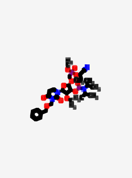 CO[C@@H]1[C@H](OP(OCCC#N)N(C(C)C)C(C)C)[C@@H](OCP(=O)(OC)OC)O[C@H]1n1ccc(=O)n(COCc2ccccc2)c1=O